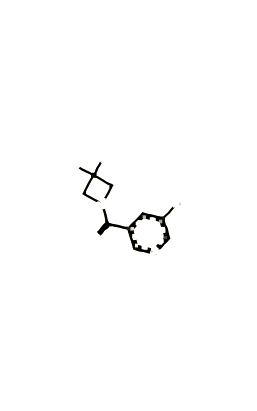 O=C(c1cncc(Br)c1)N1CC(F)(F)C1